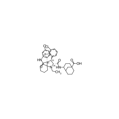 CCN1[C@@H](C(=O)NC2CCC3(C(=O)O)CCCC2C3)[C@H](c2cccc(Cl)c2F)[C@]2(C(=O)Nc3cc(Cl)ccc32)C12CCCCC2